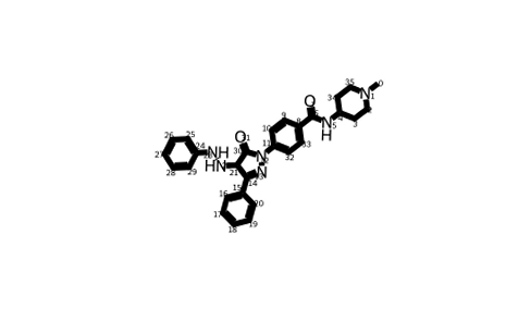 CN1CCC(NC(=O)c2ccc(N3N=C(c4ccccc4)C(NNc4ccccc4)C3=O)cc2)CC1